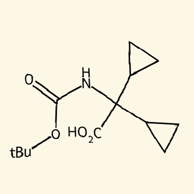 CC(C)(C)OC(=O)NC(C(=O)O)(C1CC1)C1CC1